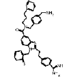 N=C(N)c1ccc(CCc2nc3cc(C(=O)N(CCCc4ccccc4)Cc4ccc(CN)cc4)ccc3n2CC2=CC=CCC2=S)cc1